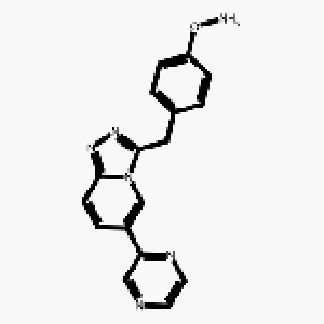 NOc1ccc(Cc2nnc3ccc(-c4cnccn4)cn23)cc1